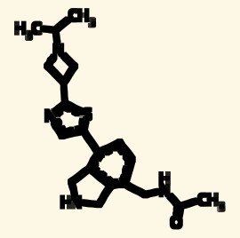 CC(=O)NCc1ccc(-c2cnc(C3CN(C(C)C)C3)s2)c2c1CNC2